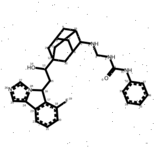 O=C(NCNC1C2CC3CC1CC(C(O)CC1c4c(F)cccc4-c4cncn41)(C3)C2)Nc1ccccc1